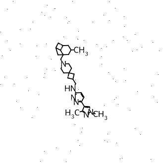 Cc1nn(C)cc1-c1ccc(NCC2CC3(CCN(CC45CC(C)CC6CC(C4)C65)CC3)C2)nn1